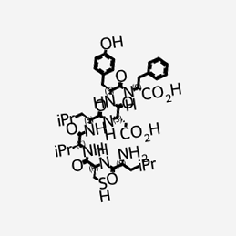 CC(C)C[C@H](NC(=O)[C@@H](NC(=O)[C@H](CS)NC(=O)[C@@H](N)CC(C)C)C(C)C)C(=O)N[C@@H](CC(=O)O)C(=O)N[C@@H](Cc1ccc(O)cc1)C(=O)N[C@@H](Cc1ccccc1)C(=O)O